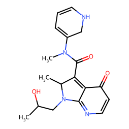 CC(O)CN1C2=NC=CC(=O)C2=C(C(=O)N(C)C2=CC=CNC2)C1C